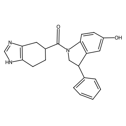 O=C(C1CCc2[nH]cnc2C1)N1CC(c2ccccc2)c2cc(O)ccc21